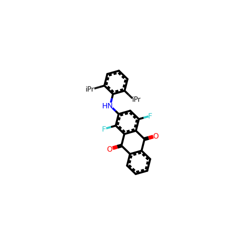 CC(C)c1cccc(C(C)C)c1Nc1cc(F)c2c(c1F)C(=O)c1ccccc1C2=O